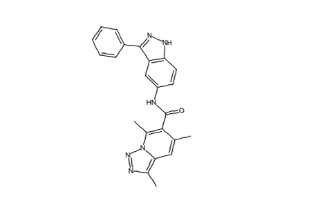 Cc1cc2c(C)nnn2c(C)c1C(=O)Nc1ccc2[nH]nc(-c3ccccc3)c2c1